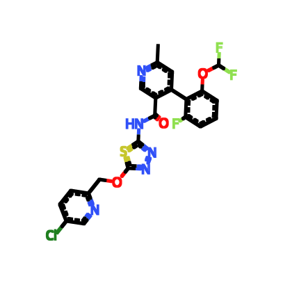 Cc1cc(-c2c(F)cccc2OC(F)F)c(C(=O)Nc2nnc(OCc3ccc(Cl)cn3)s2)cn1